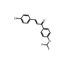 O=C(C=Cc1ccc(Cl)cc1)c1ccc(OC(F)F)cc1